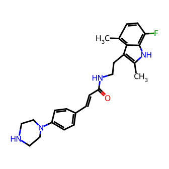 Cc1[nH]c2c(F)ccc(C)c2c1CCNC(=O)C=Cc1ccc(N2CCNCC2)cc1